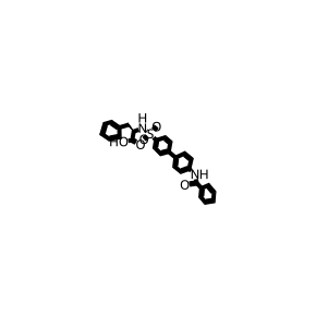 O=C(Nc1ccc(-c2ccc(S(=O)(=O)N[C@H](Cc3ccccc3)C(=O)O)cc2)cc1)c1ccccc1